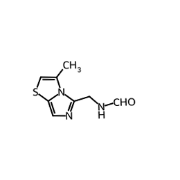 Cc1csc2cnc(CNC=O)n12